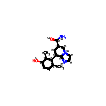 Cc1ccc(O)c(C)c1-c1cc(C(N)=O)cn2ccnc12